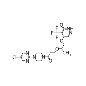 CC(COc1cn[nH]c(=O)c1C(F)(F)F)OCCC(=O)N1CCN(c2ncc(Cl)cn2)CC1